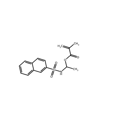 C=C(C)C(=O)OC(C)NS(=O)(=O)c1ccc2ccccc2c1